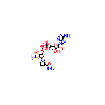 BP(=O)(OCC1OC(n2cnc3c(N)ncnc32)C(O)C1O)OP(=O)(O)OCC1CC([n+]2cccc(C(N)=O)c2)C(ON)C1O